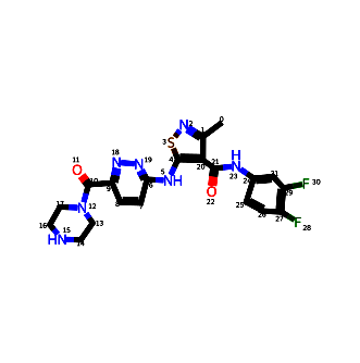 Cc1nsc(Nc2ccc(C(=O)N3CCNCC3)nn2)c1C(=O)Nc1ccc(F)c(F)c1